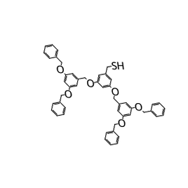 SCc1cc(OCc2cc(OCc3ccccc3)cc(OCc3ccccc3)c2)cc(OCc2cc(OCc3ccccc3)cc(OCc3ccccc3)c2)c1